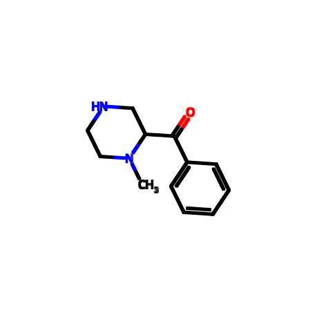 CN1CCNCC1C(=O)c1ccccc1